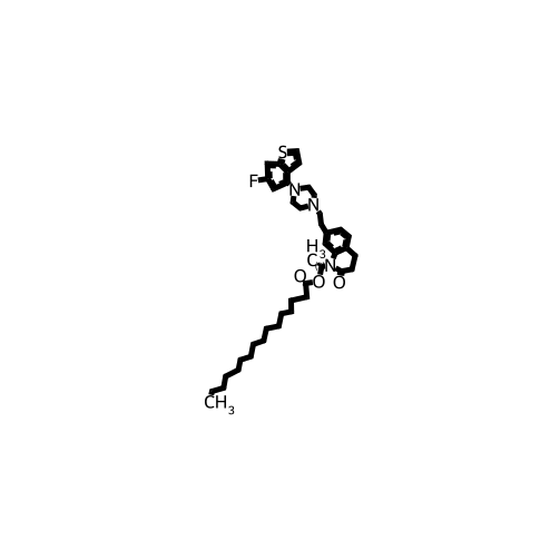 CCCCCCCCCCCCCCCC(=O)O[C@@H](C)N1C(=O)CCc2ccc(CCN3CCN(c4cc(F)cc5sccc45)CC3)cc21